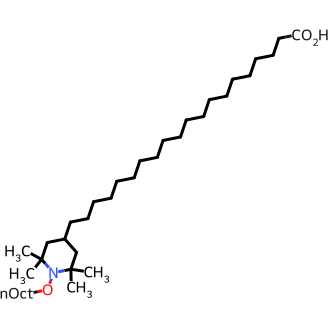 CCCCCCCCON1C(C)(C)CC(CCCCCCCCCCCCCCCCCCCC(=O)O)CC1(C)C